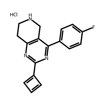 Cl.Fc1ccc(-c2nc(C3=CC=C3)nc3c2CNCC3)cc1